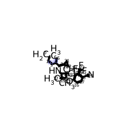 C=C/C=C\C(=C/C)C(NC1C(C)(C)C(Oc2ccc(C#N)c(C(F)(F)F)c2)C1(C)C)=C1CC1